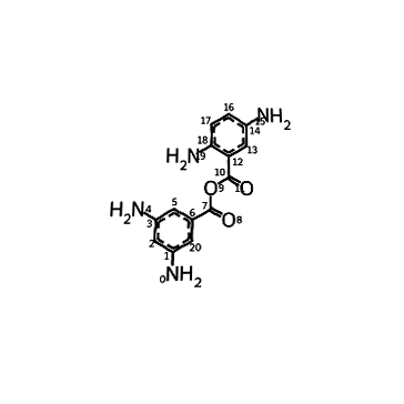 Nc1cc(N)cc(C(=O)OC(=O)c2cc(N)ccc2N)c1